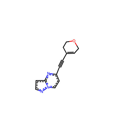 C(#Cc1ccn2nccc2n1)C1=CCOCC1